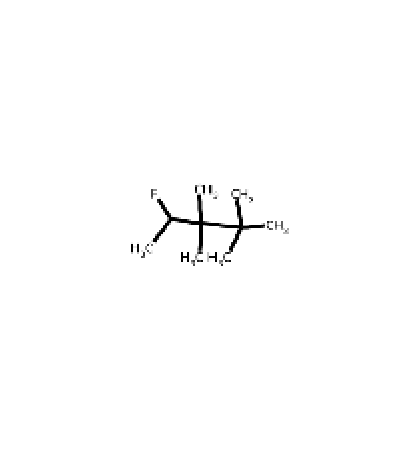 CC(F)C(C)(C)C(C)(C)C